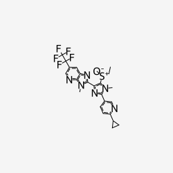 CC[S+]([O-])c1c(-c2nc3cc(C(F)(F)C(F)(F)F)cnc3n2C)nc(-c2ccc(C3CC3)nc2)n1C